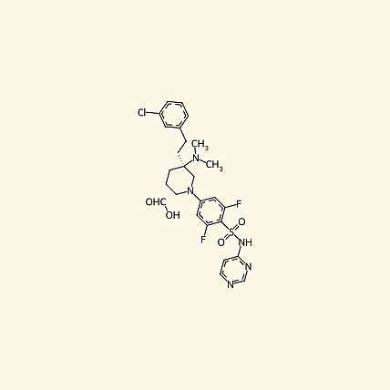 CN(C)[C@]1(CCc2cccc(Cl)c2)CCCN(c2cc(F)c(S(=O)(=O)Nc3ccncn3)c(F)c2)C1.O=CO